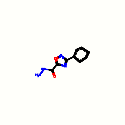 NNC(=O)c1nc(-c2ccccc2)no1